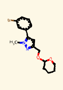 Cn1nc(COC2CCCCO2)cc1-c1cccc(Br)c1